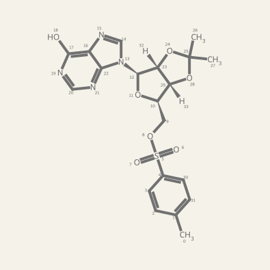 Cc1ccc(S(=O)(=O)OC[C@H]2O[C@@H](n3cnc4c(O)ncnc43)[C@@H]3OC(C)(C)O[C@@H]32)cc1